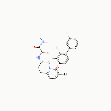 CCc1ccc2n(c1=O)[C@@H](Cc1cccc(-c3cccc(F)c3)c1F)[C@@H](NC(=O)C(=O)N(C)C)CC2